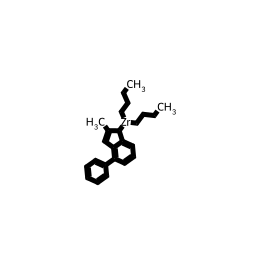 CCC[CH2][Zr]([CH2]CCC)[CH]1C(C)=Cc2c(-c3ccccc3)cccc21